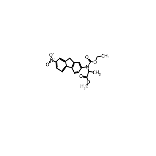 CCOC(=O)N(c1ccc2c(c1)Cc1cc([N+](=O)[O-])ccc1-2)C(C)C(=O)OC